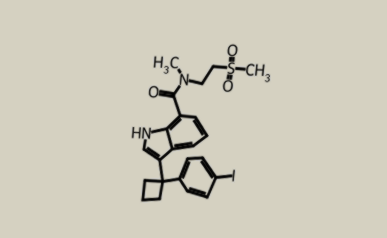 CN(CCS(C)(=O)=O)C(=O)c1cccc2c(C3(c4ccc(I)cc4)CCC3)c[nH]c12